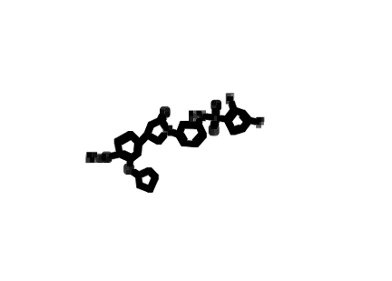 COc1ccc(C2CC(=O)N(c3cccc(NS(=O)(=O)c4ccc(F)cc4F)c3)C2)cc1OC1CCCC1